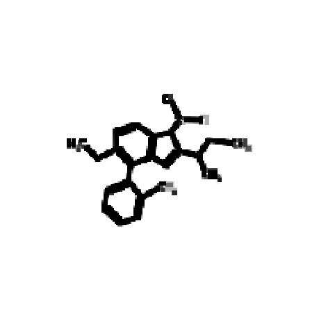 CCc1ccc2c(c1-c1ccccc1C)C=C(C(C)CC)[CH]2[Zr]([Cl])[Cl]